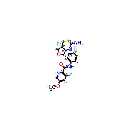 COc1cnc(C(=O)Nc2ccc(F)c([C@]34COC[C@@]3(F)CSC(N)=N4)c2)c(F)c1